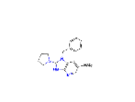 CNc1cnc2c(c1)N(Cc1ccccc1)C(N1CCCC1)N2